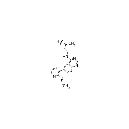 CCOc1ncccc1-c1ccc2ncnc(NCCC(C)C)c2c1